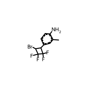 Cc1cc(C2C(Br)C(F)(F)C2(F)F)ccc1N